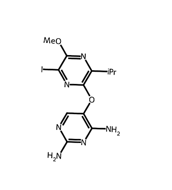 COc1nc(C(C)C)c(Oc2cnc(N)nc2N)nc1I